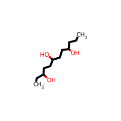 [CH2]CC(O)CCC(O)CCC(O)CCC